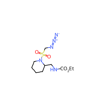 CCOC(=O)NCC1CCCCN1S(=O)(=O)CN=[N+]=[N-]